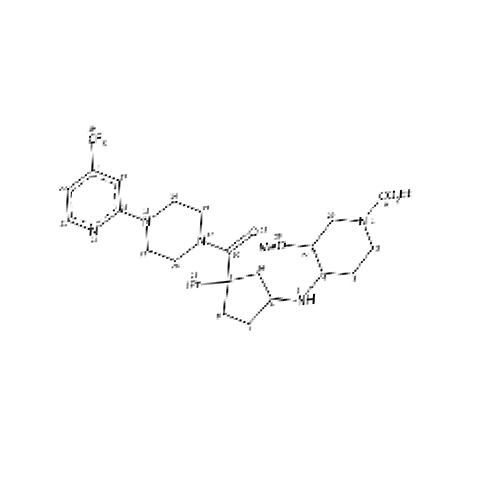 CCOC(=O)N1CCC(NC2CCC(C(=O)N3CCN(c4cc(C(F)(F)F)ccn4)CC3)(C(C)C)C2)C(OC)C1